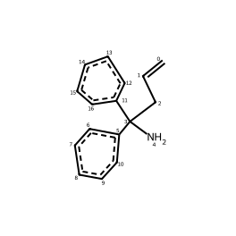 C=CCC(N)(c1ccccc1)c1ccccc1